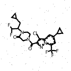 O=C(c1nn2c(C(F)(F)F)cc(C3CC3)cc2c1Cl)N1CCN(C(CC2CC2)C(F)F)C(=O)C1